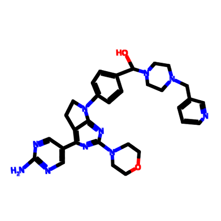 Nc1ncc(-c2nc(N3CCOCC3)nc3c2CCN3c2ccc(C(O)N3CCN(Cc4cccnc4)CC3)cc2)cn1